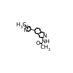 CC(=O)Nc1cc2cc(-c3cnn(C)c3)ccc2cn1